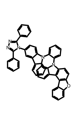 c1ccc(-c2nnc(-c3ccccc3)n2-c2ccc3c(c2)c2ccccc2n3-c2ccccc2-n2c3ccccc3c3c4c(ccc32)oc2ccccc24)cc1